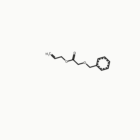 C=CCOC(=O)COCc1ccccc1